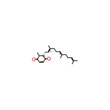 CC(C)=CCC/C(C)=C/CC/C(C)=C/C[C@@H]1C(=O)C=CC(=O)C1C